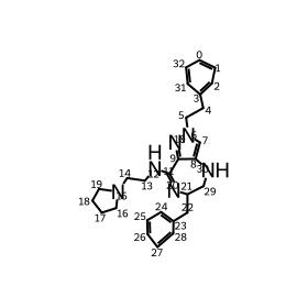 c1ccc(CCn2cc3c(n2)C(NCCN2CCCC2)=NC(Cc2ccccc2)CN3)cc1